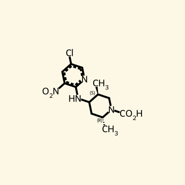 C[C@@H]1CC(Nc2ncc(Cl)cc2[N+](=O)[O-])[C@@H](C)CN1C(=O)O